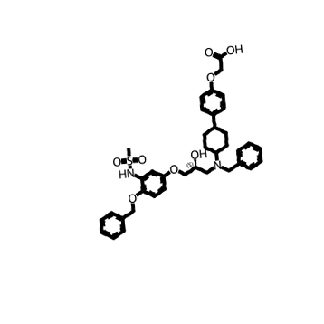 CS(=O)(=O)Nc1cc(OC[C@@H](O)CN(Cc2ccccc2)C2CCC(c3ccc(OCC(=O)O)cc3)CC2)ccc1OCc1ccccc1